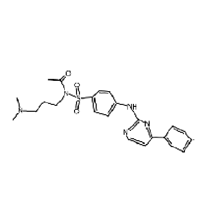 CC(=O)N(CCCN(C)C)S(=O)(=O)c1ccc(Nc2nccc(-c3cc[c]cc3)n2)cc1